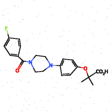 CC(C)(Oc1ccc(N2CCN(C(=O)c3ccc(F)cc3)CC2)cc1)C(=O)O